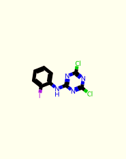 Clc1nc(Cl)nc(Nc2ccccc2I)n1